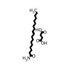 CCCCCCCCC=CCCCCCCCC(N)=O.O=C(O)CCC(=O)O